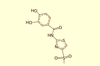 CS(=O)(=O)c1csc(NC(=O)c2ccc(O)c(O)c2)n1